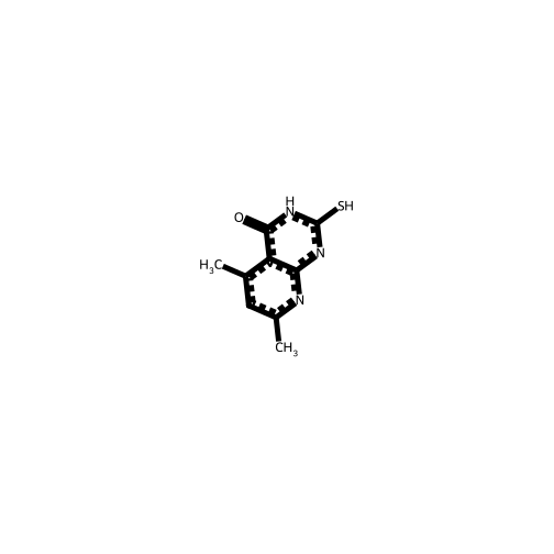 Cc1cc(C)c2c(=O)[nH]c(S)nc2n1